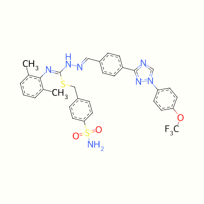 Cc1cccc(C)c1/N=C(/N/N=C/c1ccc(-c2ncn(-c3ccc(OC(F)(F)F)cc3)n2)cc1)SCc1ccc(S(N)(=O)=O)cc1